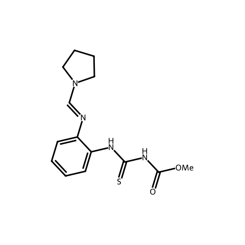 COC(=O)NC(=S)Nc1ccccc1/N=C/N1CCCC1